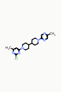 Cc1cnc(N2CCC(C3CCN(c4cc(C)nc(Cl)n4)CC3)CC2)cn1